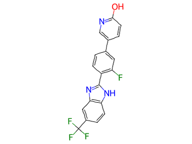 Oc1ccc(-c2ccc(-c3nc4cc(C(F)(F)F)ccc4[nH]3)c(F)c2)cn1